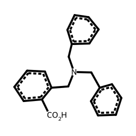 O=C(O)c1ccccc1CN(Cc1ccccc1)Cc1ccccc1